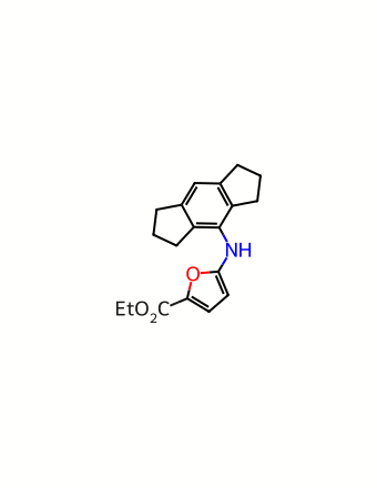 CCOC(=O)c1ccc(Nc2c3c(cc4c2CCC4)CCC3)o1